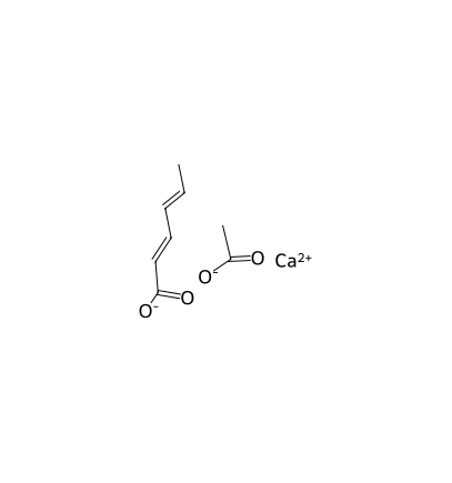 C/C=C/C=C/C(=O)[O-].CC(=O)[O-].[Ca+2]